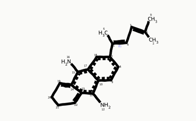 CC(C)=C/C=C(\C)c1ccc2c(N)c3c(c(N)c2c1)=CCCC=3